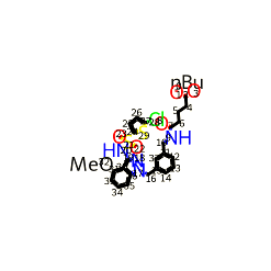 CCCCOC(=O)CCCC(=O)NCc1cccc(Cn2nc(NS(=O)(=O)c3ccc(Cl)s3)c3c(OC)cccc32)c1